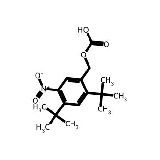 CC(C)(C)c1cc(C(C)(C)C)c([N+](=O)[O-])cc1COC(=O)O